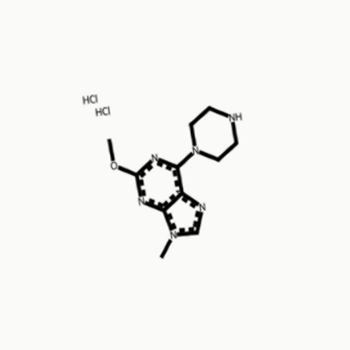 COc1nc(N2CCNCC2)c2ncn(C)c2n1.Cl.Cl